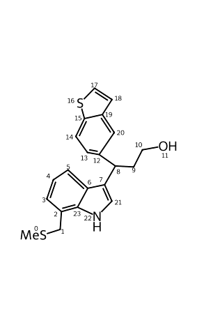 CSCc1cccc2c(C(CCO)c3ccc4sccc4c3)c[nH]c12